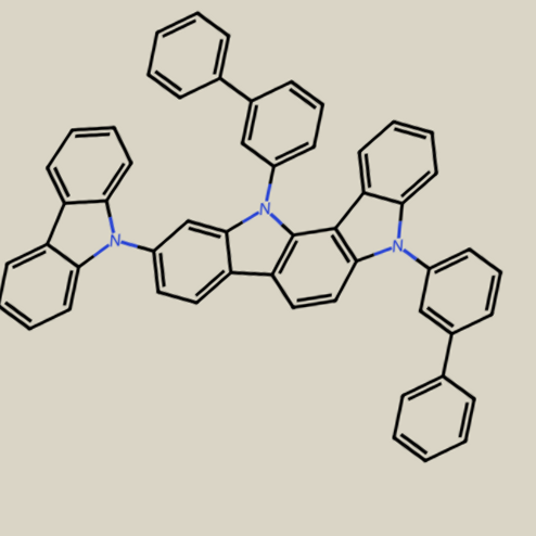 c1ccc(-c2cccc(-n3c4ccccc4c4c3ccc3c5ccc(-n6c7ccccc7c7ccccc76)cc5n(-c5cccc(-c6ccccc6)c5)c34)c2)cc1